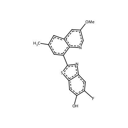 COc1cnc2c(-c3nc4cc(F)c(O)cc4s3)cc(C)cc2c1